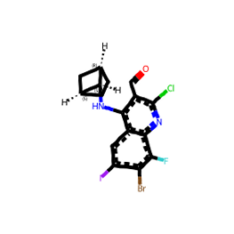 O=Cc1c(Cl)nc2c(F)c(Br)c(I)cc2c1N[C@@H]1[C@@H]2CC[C@H]1C2